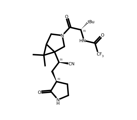 CC(C)(C)[C@H](NC(=O)C(F)(F)F)C(=O)N1CC2C(C)(C)C2([C@@H](C#N)C[C@H]2CCNC2=O)C1